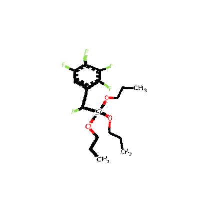 CCCO[Si](OCCC)(OCCC)C(F)c1cc(F)c(F)c(F)c1F